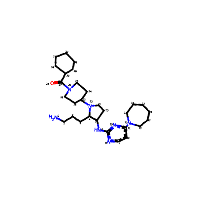 NCCCC1C(Nc2nccc(N3CCCCCC3)n2)CCN1C1CCN(C(=O)C2CCCCC2)CC1